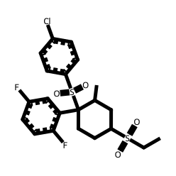 CCS(=O)(=O)C1CCC(c2cc(F)ccc2F)(S(=O)(=O)c2ccc(Cl)cc2)C(C)C1